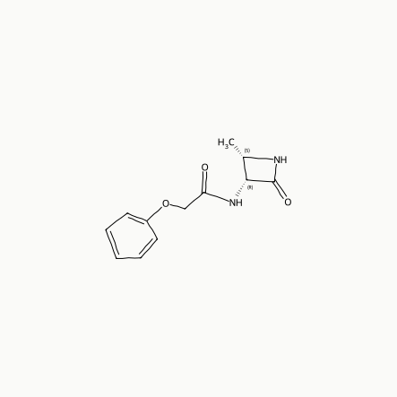 C[C@@H]1NC(=O)[C@@H]1NC(=O)COc1ccccc1